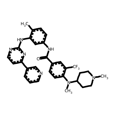 Cc1ccc(NC(=O)c2ccc(N(C)C3CCN(C)CC3)c(C(F)(F)F)c2)cc1Nc1nccc(-c2cccnc2)n1